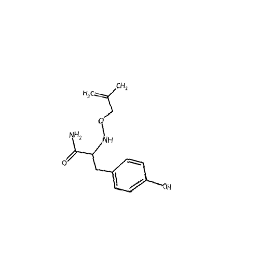 C=C(C)CONC(Cc1ccc(O)cc1)C(N)=O